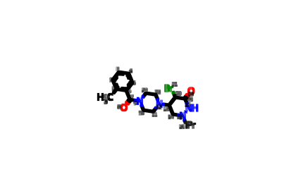 Cc1ccccc1C(=O)N1CCN(C2CN(C(C)C)NC(=O)C2Br)CC1